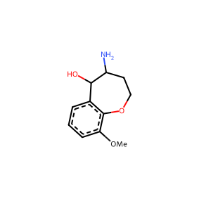 COc1cccc2c1OCCC(N)C2O